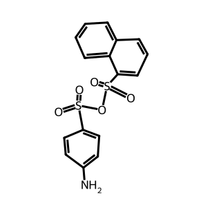 Nc1ccc(S(=O)(=O)OS(=O)(=O)c2cccc3ccccc23)cc1